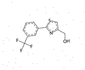 OCc1csc(-c2cccc(C(F)(F)F)c2)n1